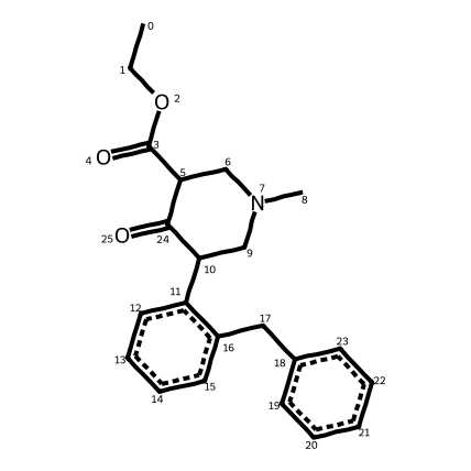 CCOC(=O)C1CN(C)CC(c2ccccc2Cc2ccccc2)C1=O